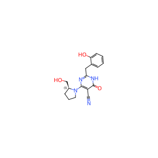 N#Cc1c(N2CCC[C@H]2CO)nc(Cc2ccccc2O)[nH]c1=O